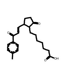 Cc1ccc(C(=O)C=CC2CCC(=O)C2CCCCCCC(=O)O)cc1